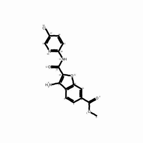 COC(=O)c1ccc2c(N)c(C(=O)Nc3ccc(Cl)cn3)oc2c1